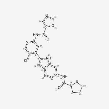 O=C(Nc1ccc(Cl)c(-c2nc3ncc(NC(=O)N4CCCC4)cc3[nH]2)c1)c1ccco1